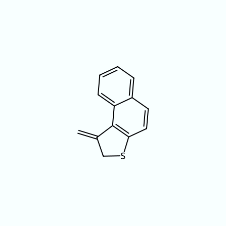 C=C1CSc2ccc3ccccc3c21